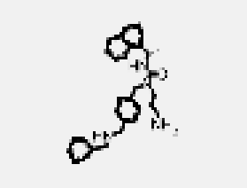 C[C@H](NC(=O)N(CCCN)Cc1ccc(CNCc2ccccc2)cc1)c1cccc2ccccc12